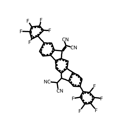 N#CC(C#N)=C1c2cc(-c3c(F)c(F)c(F)c(F)c3F)ccc2-c2cc3c(cc21)-c1ccc(-c2c(F)c(F)c(F)c(F)c2F)cc1C3C(C#N)C#N